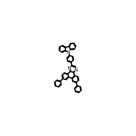 c1ccc(-c2ccc3c(c2)c2cc(-c4ccccc4)ccc2c2nc(-c4ccc(-n5c6ccccc6c6ccccc65)cc4)cnc32)cc1